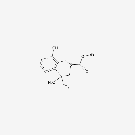 CC(C)(C)OC(=O)N1Cc2c(O)cccc2C(C)(C)C1